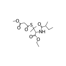 CCOC(=O)C(NC(=O)C(C)CC)C(C)(C)SC(=O)CC(=O)OC